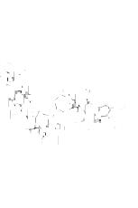 CC(=O)OCc1c(-c2cc(Nc3nc4n(n3)CCN(C)C4)c(=O)n(C)c2)ccnc1N1CCn2c(cc3c2CCCC3)C1=O